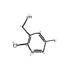 [CH2]c1cnc(Cl)c(CO)c1